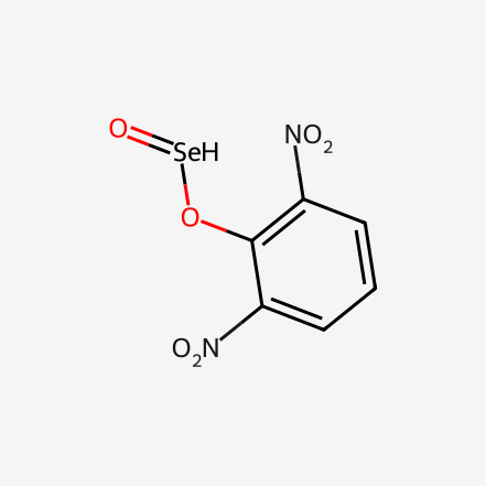 O=[SeH]Oc1c([N+](=O)[O-])cccc1[N+](=O)[O-]